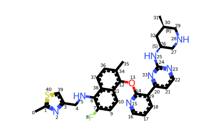 Cc1nc(CNc2c(F)ccc3c(Oc4ncccc4-c4ccnc(N[C@@H]5CNC[C@H](C)C5)n4)c(C)ccc23)cs1